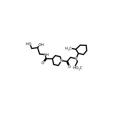 CC1CCCCC1N(CC(=O)O)CC(=O)N1CCC(C(=O)NCC(O)CO)CC1